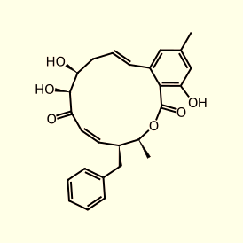 Cc1cc(O)c2c(c1)/C=C/C[C@H](O)[C@H](O)C(=O)/C=C\[C@H](Cc1ccccc1)[C@H](C)OC2=O